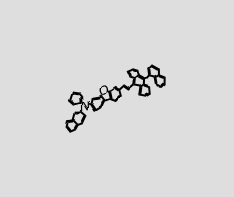 C(=C\c1c2ccccc2c(-c2cccc3ccccc23)c2ccccc12)/c1ccc2c(c1)oc1cc(N(c3ccccc3)c3ccc4ccccc4c3)ccc12